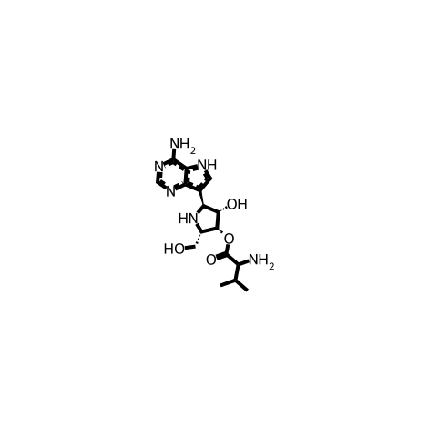 CC(C)C(N)C(=O)O[C@H]1[C@@H](O)[C@H](c2c[nH]c3c(N)ncnc23)N[C@H]1CO